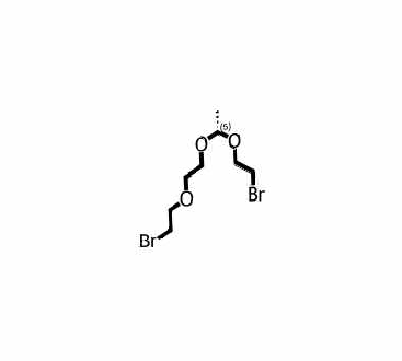 C[C@H](OCCBr)OCCOCCBr